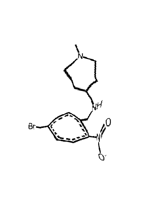 CN1CCC(Nc2cc(Br)ccc2[N+](=O)[O-])CC1